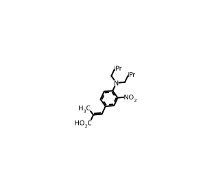 CC(=Cc1ccc(N(CC(C)C)CC(C)C)c([N+](=O)[O-])c1)C(=O)O